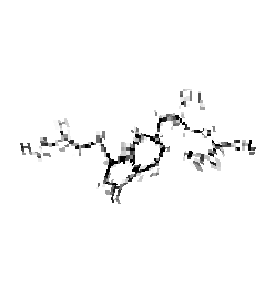 C=C(N)OC[C@@H](C)Cc1ccc2[nH]cc(CCNC)c2c1